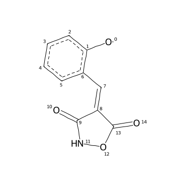 [O]c1ccccc1C=C1C(=O)NOC1=O